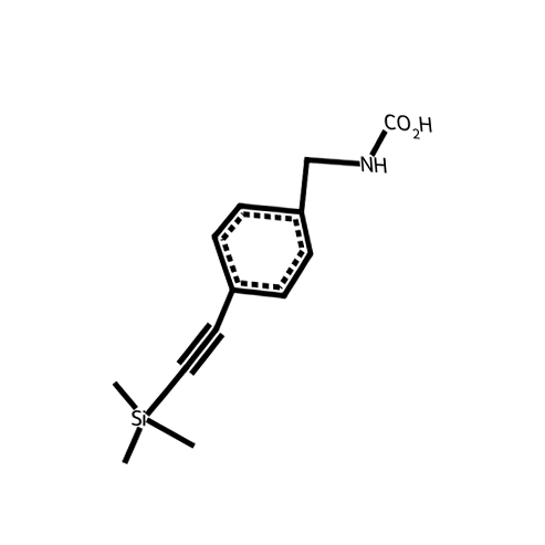 C[Si](C)(C)C#Cc1ccc(CNC(=O)O)cc1